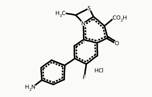 CC1Sc2c(C(=O)O)c(=O)c3cc(F)c(-c4ccc(N)cc4)cc3n21.Cl